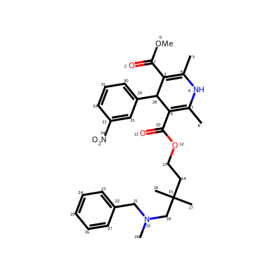 COC(=O)C1=C(C)NC(C)=C(C(=O)OCCC(C)(C)CN(C)Cc2ccccc2)C1c1cccc([N+](=O)[O-])c1